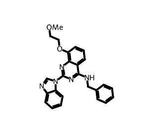 COCCOc1cccc2c(NCc3ccccc3)nc(-n3cnc4ccccc43)nc12